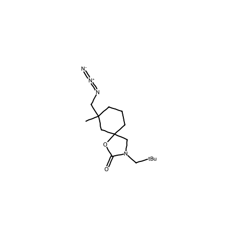 CC(C)(C)CN1CC2(CCCC(C)(CN=[N+]=[N-])C2)OC1=O